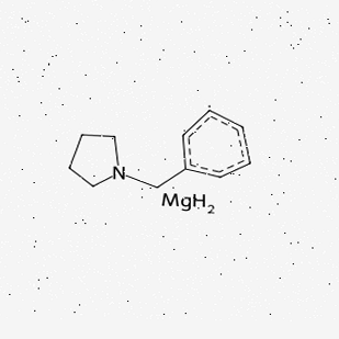 [MgH2].[c]1cccc(CN2CCCC2)c1